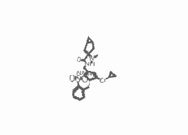 CNS(=O)(=O)c1ccccc1C[C@@H]1C=C(CNC(=O)C2(N(C)C)CC3CC3C2)C=C1OC1CC1